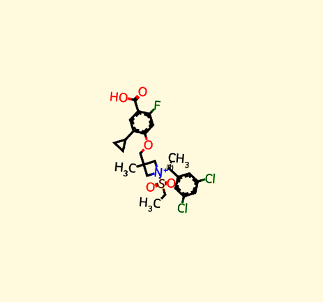 CCS(=O)(=O)[N+]1([C@H](C)c2cc(Cl)cc(Cl)c2)CC(C)(COc2cc(F)c(C(=O)O)cc2C2CC2)C1